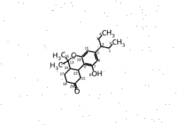 CCC(CC)c1cc(O)c2c(c1)OC(C)(C)C1CCC(=O)CC21